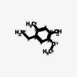 COc1cc(CN)c(C)cc1O